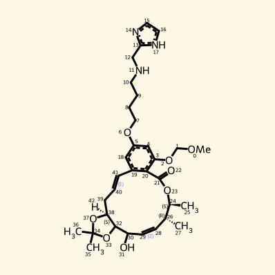 COCOc1cc(OCCCCNCc2ncc[nH]2)cc2c1C(=O)O[C@@H](C)[C@H](C)/C=C\C(O)C1OC(C)(C)O[C@H]1C/C=C/2